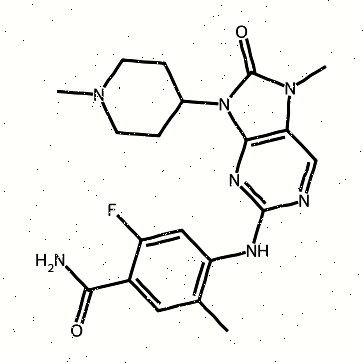 Cc1cc(C(N)=O)c(F)cc1Nc1ncc2c(n1)n(C1CCN(C)CC1)c(=O)n2C